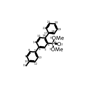 COP(=O)(OC)c1cc(-c2ccc(C)cc2)ccc1-c1ccccc1